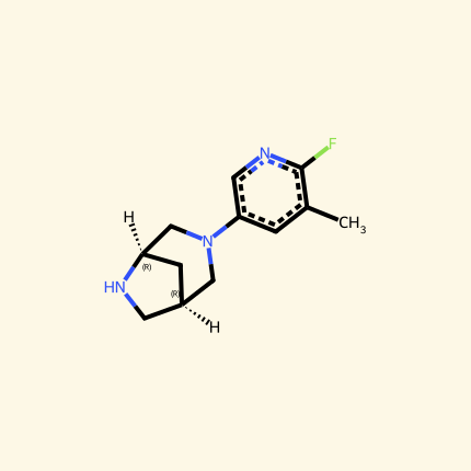 Cc1cc(N2C[C@H]3CN[C@H](C3)C2)cnc1F